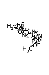 CCOC(F)(F)c1nnc2cnc(-c3ccc(O[C@@H](CC)C(F)(F)F)nc3)cn12